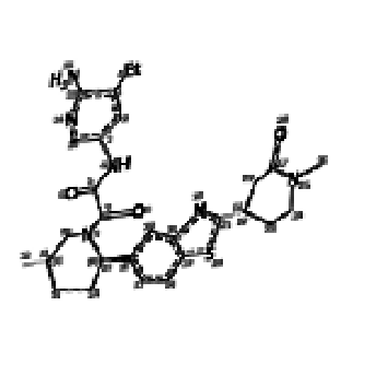 CCc1cc(NC(=O)C(=O)N2C[C@@H](C)CC[C@@H]2c2ccc3sc([C@H]4CCN(C)C(=O)C4)nc3c2)cnc1N